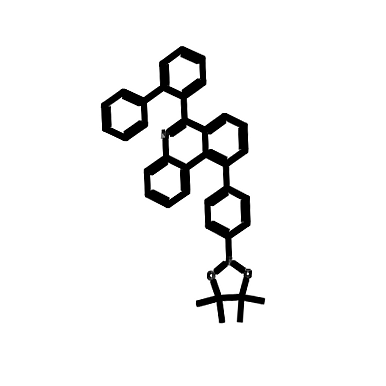 CC1(C)OB(c2ccc(-c3cccc4c(-c5ccccc5-c5ccccc5)nc5ccccc5c34)cc2)OC1(C)C